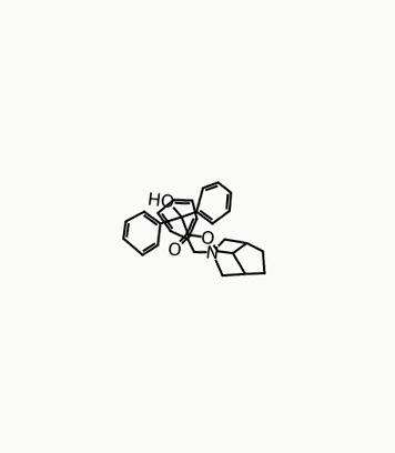 O=C(OCC1C2CCC1CN(Cc1ccccc1)C2)C(O)(c1ccccc1)c1ccccc1